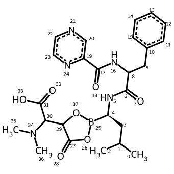 CC(C)C[C@H](NC(=O)C(Cc1ccccc1)NC(=O)c1cnccn1)B1OC(=O)C(C(C(=O)O)N(C)C)O1